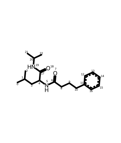 CC(C)CC(NC(=O)CCCc1ccccc1)C(=O)NC(C)C